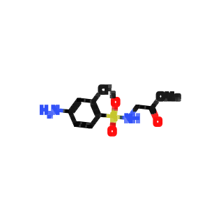 COC(=O)CNS(=O)(=O)c1ccc(N)cc1C(F)(F)F